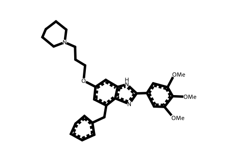 COc1cc(-c2nc3c(Cc4ccccc4)cc(OCCCN4CCCCC4)cc3[nH]2)cc(OC)c1OC